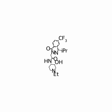 CCN1CC[C@H](NC(=O)Cn2nc(C(C)C)c3cc(C(F)(F)F)ccc3c2=O)[C@H](O)C1